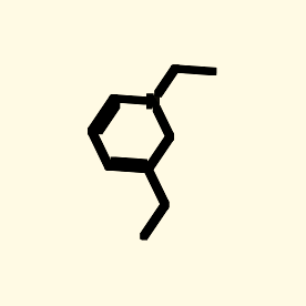 CCC1=CC=CN(CC)C1